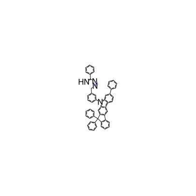 N=C(/N=N\Cc1cccc(-n2c3cc(-c4ccccc4)ccc3c3cc4c(cc32)C(c2ccccc2)(c2ccccc2)c2ccccc2-4)c1)c1ccccc1